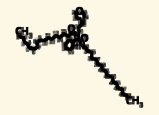 CCCCC/C=C\C/C=C\CCCCCCCC(=O)N(CCCN1CCOCC1)C(C(=O)NCCCCCCCCCCCCCCCCCC)C1CCCCC1